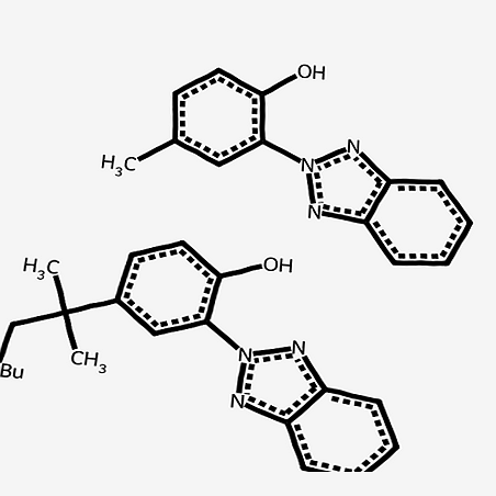 CC(C)(C)CC(C)(C)c1ccc(O)c(-n2nc3ccccc3n2)c1.Cc1ccc(O)c(-n2nc3ccccc3n2)c1